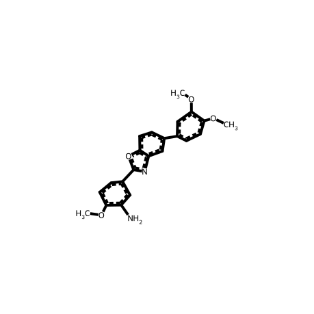 COc1ccc(-c2nc3cc(-c4ccc(OC)c(OC)c4)ccc3o2)cc1N